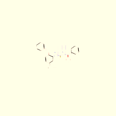 Cc1ccc(Oc2ccccc2)c(NC(=S)NC(=O)c2ccccc2)c1